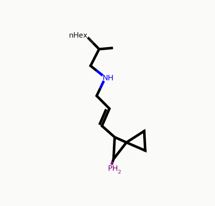 CCCCCCC(C)CNCC=CC1C(P)C12CC2